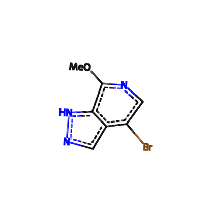 COc1ncc(Br)c2cn[nH]c12